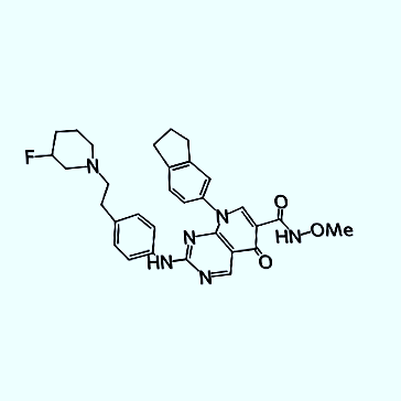 CONC(=O)c1cn(-c2ccc3c(c2)CCC3)c2nc(Nc3ccc(CCN4CCCC(F)C4)cc3)ncc2c1=O